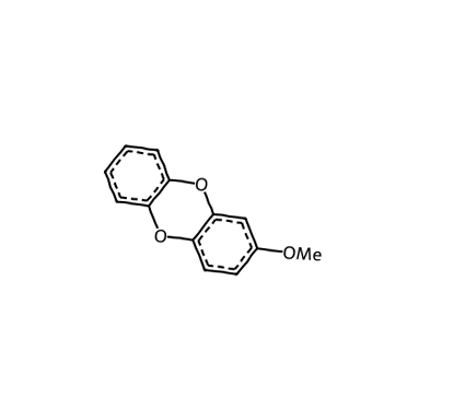 COc1ccc2c(c1)Oc1ccccc1O2